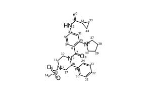 C=C(Nc1ccc(C(=O)N2CCN(S(C)(=O)=O)CC2c2ccccc2)c(N2CCCC2)c1)C1CC1